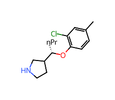 CCC[C@H](Oc1ccc(C)cc1Cl)C1CCNC1